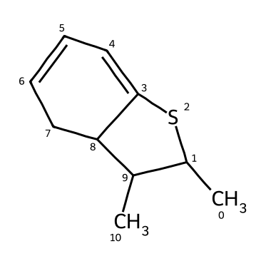 CC1SC2=CC=CCC2C1C